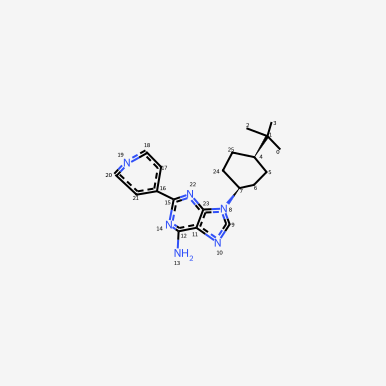 CC(C)(C)[C@H]1CC[C@@H](n2cnc3c(N)nc(-c4ccncc4)nc32)CC1